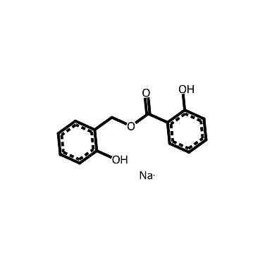 O=C(OCc1ccccc1O)c1ccccc1O.[Na]